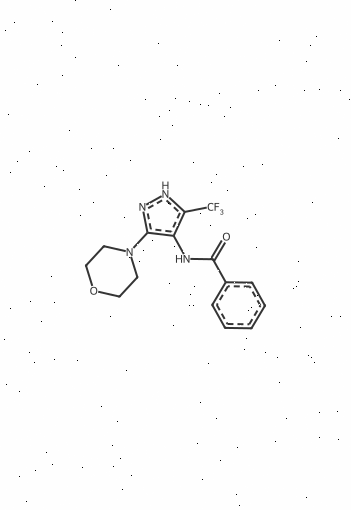 O=C(Nc1c(N2CCOCC2)n[nH]c1C(F)(F)F)c1ccccc1